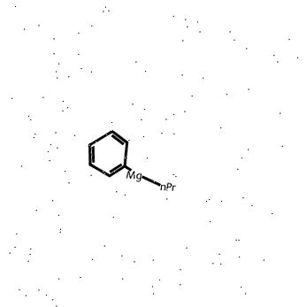 CC[CH2][Mg][c]1ccccc1